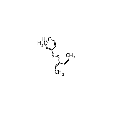 C/C=C\C(=C/C)SSC(/C=C\C)=C/C